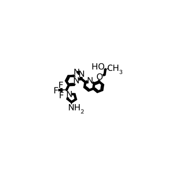 C[C@@H](O)COc1cccc2ccc(-c3nnc4ccc([C@@H](N5CC[C@H](N)C5)C(F)(F)F)cn34)nc12